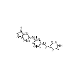 c1nc2cnc(Nc3cncc(OCC4CCNCC4)n3)cc2[nH]1